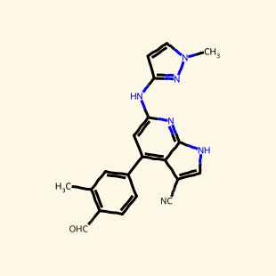 Cc1cc(-c2cc(Nc3ccn(C)n3)nc3[nH]cc(C#N)c23)ccc1C=O